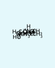 CC(NC(=O)O)C1CCC(NC(=O)OC(C)(C)C)CC1